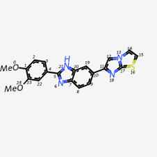 COc1ccc(-c2nc3ccc(-c4cn5ccsc5n4)cc3[nH]2)cc1OC